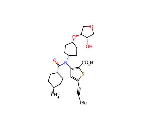 CC(C)(C)C#Cc1cc(N(C(=O)[C@H]2CC[C@H](C)CC2)[C@H]2CC[C@H](O[C@H]3COC[C@@H]3O)CC2)c(C(=O)O)s1